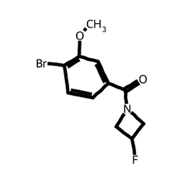 COc1cc(C(=O)N2CC(F)C2)ccc1Br